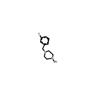 CC(C)N1CCN(Cc2cccc(F)c2)CC1